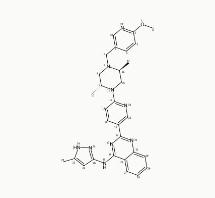 COc1ccc(CN2C[C@@H](C)N(c3ccc(-c4nc(Nc5cc(C)[nH]n5)c5ccccc5n4)cn3)C[C@@H]2C)cn1